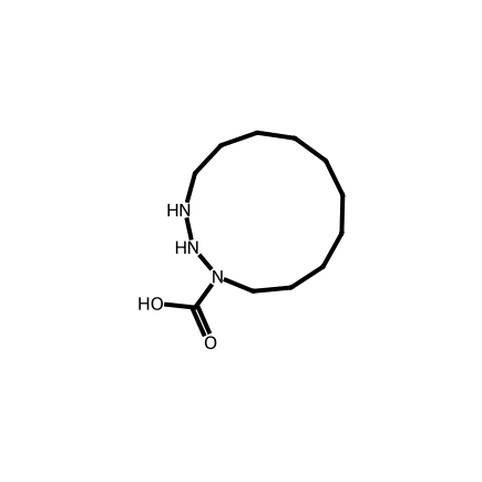 O=C(O)N1CCCCCCCCCCNN1